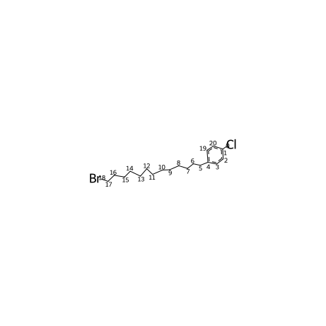 Clc1ccc(CCCCCCCCCCCCCBr)cc1